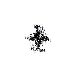 C=C(C)[C@@H](C/C=C(/C)CO)Cc1cc(C=O)c(-c2c(C=O)cc(C[C@H](C/C=C(/C)CO)C(=C)C)c(O)c2CC=C(C)C)c(CC=C(C)C)c1O